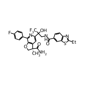 CCc1nc2ccc(C(=O)NCC(O)(c3cc4c(c(-c5ccc(F)cc5)n3)OC[C@]4(C)C(N)=O)C(F)(F)F)cc2s1